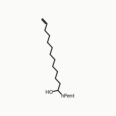 C=CCCCCCCCCCCC(O)CCCCC